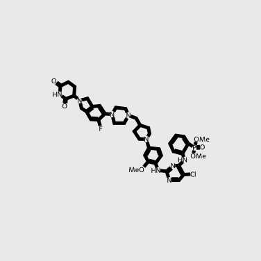 COc1cc(N2CCC(CN3CCN(c4cc5c(cc4F)CN(C4CCC(=O)NC4=O)C5)CC3)CC2)ccc1Nc1ncc(Cl)c(Nc2ccccc2P(=O)(OC)OC)n1